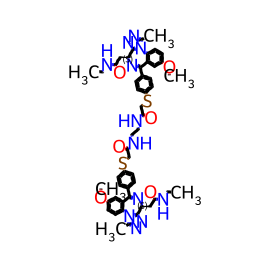 CCNC(=O)C[C@@H]1N=C(c2ccc(SCC(=O)NCCNC(=O)CSc3ccc(C4=N[C@@H](CC(=O)NCC)c5nnc(C)n5-c5ccc(OC)cc54)cc3)cc2)c2cc(OC)ccc2-n2c(C)nnc21